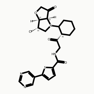 O=C(NCC(=O)[C@H]1CCCCC1N1C[C@H](Cl)[C@H]2OCC(=O)[C@H]21)c1ccc(-c2cncnc2)s1